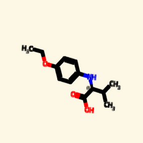 CCOc1ccc(N[C@H](C(=O)O)C(C)C)cc1